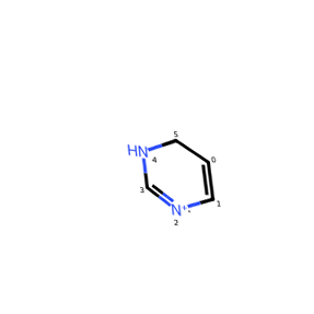 C1=C[N+]=CNC1